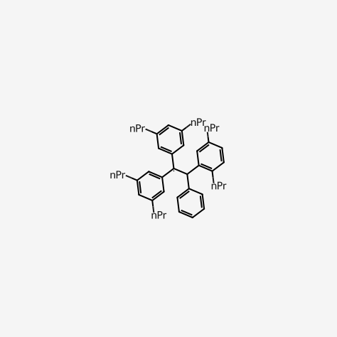 CCCc1cc(CCC)cc([C](c2cc(CCC)cc(CCC)c2)C(c2ccccc2)c2cc(CCC)ccc2CCC)c1